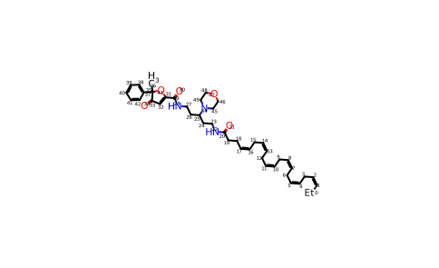 CC/C=C\C/C=C\C/C=C\C/C=C\C/C=C\C/C=C\CCC(=O)NCCC(CCNC(=O)C1=CC(=O)C(C)(c2ccccc2)O1)N1CCOCC1